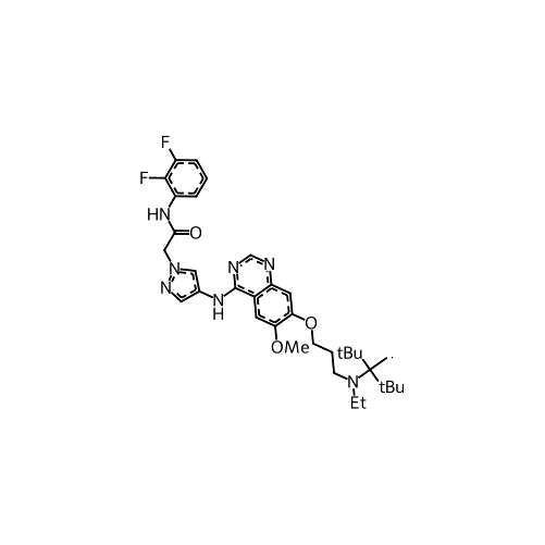 [CH2]C(N(CC)CCCOc1cc2ncnc(Nc3cnn(CC(=O)Nc4cccc(F)c4F)c3)c2cc1OC)(C(C)(C)C)C(C)(C)C